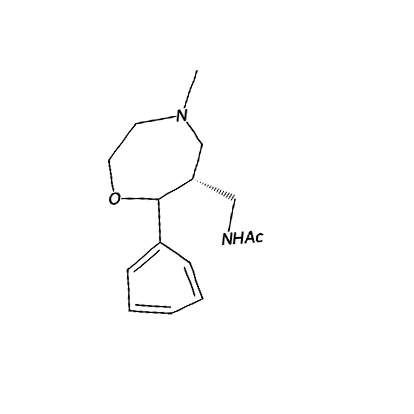 CC(=O)NC[C@H]1CN(C)CCOC1c1ccccc1